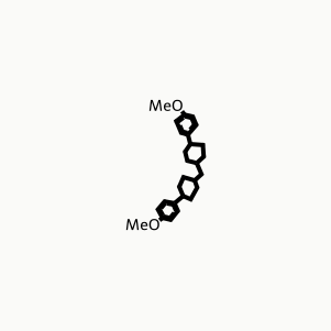 COc1ccc(C2CCC(CC3CCC(c4ccc(OC)cc4)CC3)CC2)cc1